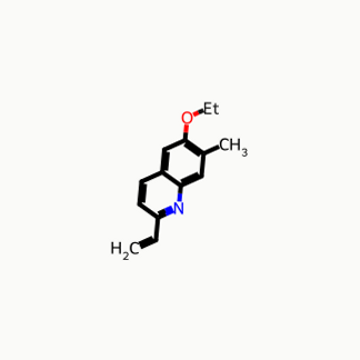 C=Cc1ccc2cc(OCC)c(C)cc2n1